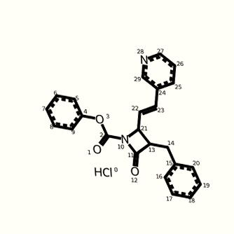 Cl.O=C(Oc1ccccc1)N1C(=O)C(Cc2ccccc2)C1C=Cc1cccnc1